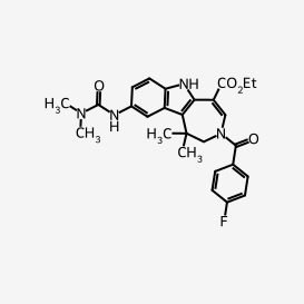 CCOC(=O)C1=CN(C(=O)c2ccc(F)cc2)CC(C)(C)c2c1[nH]c1ccc(NC(=O)N(C)C)cc21